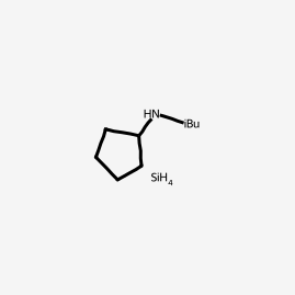 CCC(C)NC1CCCC1.[SiH4]